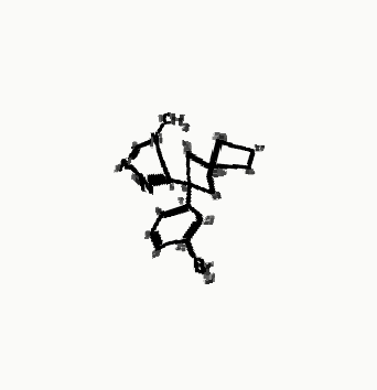 Cn1cnnc1C1(c2cccc(Br)c2)CC2(CCC2)C1